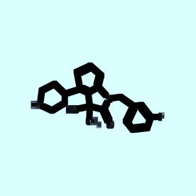 CC1(O)C(=O)N(Cc2cccc(F)c2)c2cccc(C3CCNCC3)c21